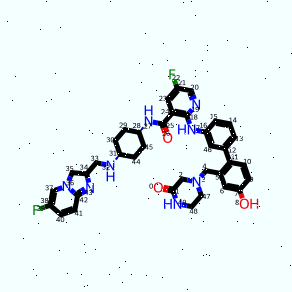 O=C1CN(Cc2cc(O)ccc2-c2cccc(Nc3ncc(F)cc3C(=O)N[C@H]3CC[C@@H](NCC4CN5C=C(F)C=CC5=N4)CC3)c2)CCN1